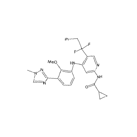 COc1c(Nc2cc(NC(=O)C3CC3)ncc2C(F)(F)CC(C)C)cccc1-c1ncn(C)n1